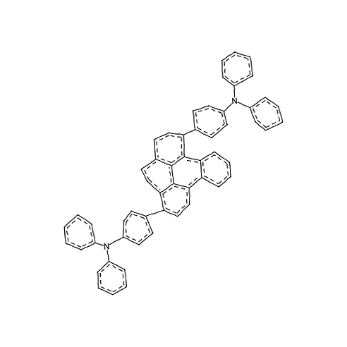 c1ccc(N(c2ccccc2)c2ccc(-c3ccc4c5ccccc5c5c(-c6ccc(N(c7ccccc7)c7ccccc7)cc6)ccc6ccc3c4c65)cc2)cc1